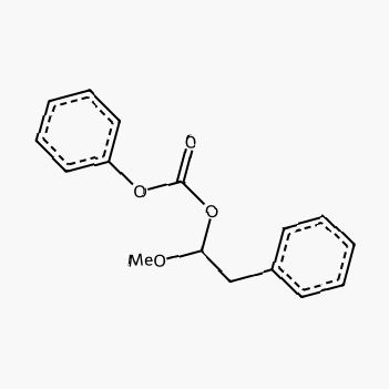 COC(Cc1ccccc1)OC(=O)Oc1ccccc1